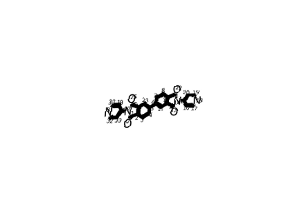 O=C1c2ccc(-c3ccc4c(c3)C(=O)N(c3ccncc3)C4=O)cc2C(=O)N1c1ccncc1